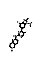 Cc1nc2c(F)cc(-c3nc(Nc4ccc5c(n4)CCNC5)ncc3F)cc2n1N(C)C